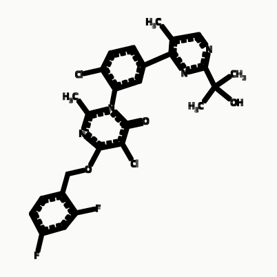 Cc1cnc(C(C)(C)O)nc1-c1ccc(Cl)c(-n2c(C)nc(OCc3ccc(F)cc3F)c(Cl)c2=O)c1